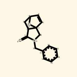 O=C1C2CC3C=CC2(CN1Cc1ccccc1)O3